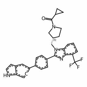 O=C(C1CC1)N1CC[C@H](Cn2c(-c3ccc(-c4ccc5[nH]ccc5c4)cc3)nc3c(C(F)(F)F)cccc32)C1